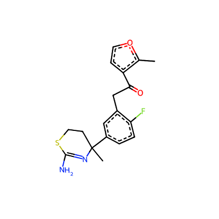 Cc1occc1C(=O)Cc1cc(C2(C)CCSC(N)=N2)ccc1F